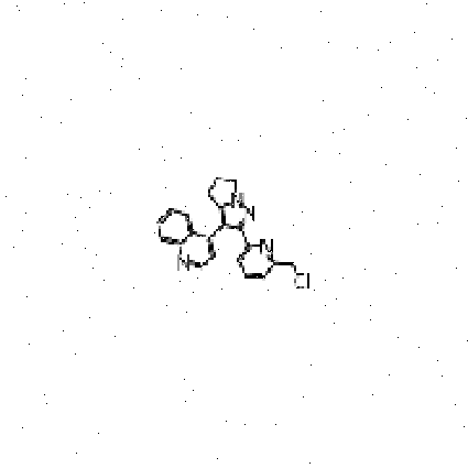 ClCc1cccc(-c2nn3c(c2-c2ccnc4ccccc24)CCC3)n1